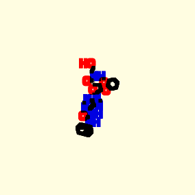 O=C(Nc1ncnc2c1ncn2[C@@H]1O[C@H](C(=O)NCCO)C2OC3(CCCCC3)OC21)NC12CC3CC(CC(C3)C1)C2